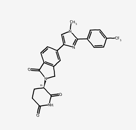 Cn1cc(-c2ccc3c(c2)CN([C@@H]2CCC(=O)NC2=O)C3=O)nc1-c1ccc(C(F)(F)F)cc1